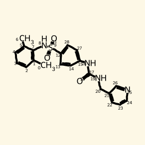 Cc1cccc(C)c1NS(=O)(=O)c1ccc(NC(=O)NCc2cccnc2)cc1